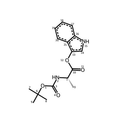 C[C@H](NC(=O)OC(C)(C)C)C(=O)Oc1c[nH]c2ccccc12